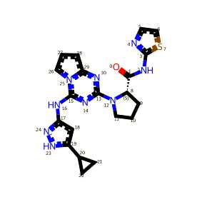 O=C(Nc1nccs1)[C@@H]1CCCN1c1nc(Nc2cc(C3CC3)[nH]n2)n2cccc2n1